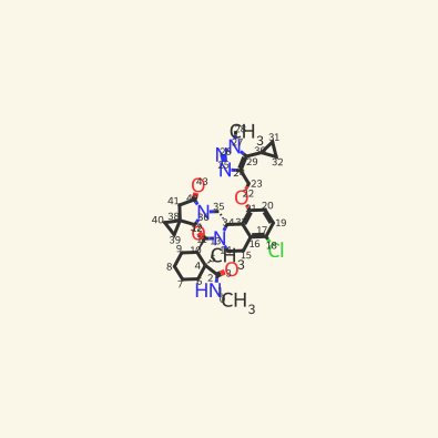 CNC(=O)[C@@]1(C)CCCC[C@H]1C(=O)N1CCc2c(Cl)ccc(OCc3nnn(C)c3C3CC3)c2[C@H]1CN1CC2(CC2)CC1=O